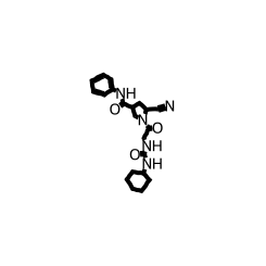 N#CC1CC(C(=O)Nc2ccccc2)CN1C(=O)CNC(=O)NC1CCCCC1